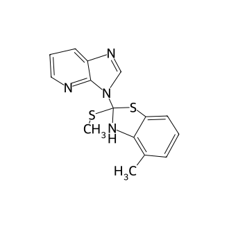 CSC1(n2cnc3cccnc32)Nc2c(C)cccc2S1